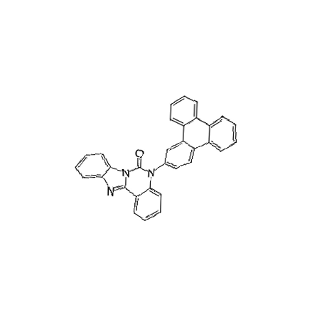 O=c1n(-c2ccc3c4ccccc4c4ccccc4c3c2)c2ccccc2c2nc3ccccc3n12